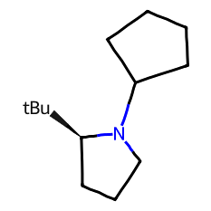 CC(C)(C)[C@@H]1CCCN1C1CCCC1